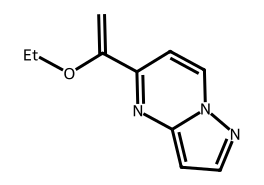 C=C(OCC)c1ccn2nccc2n1